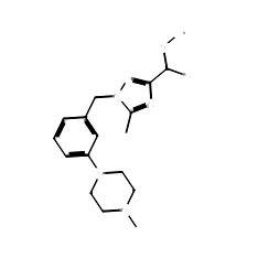 Cc1nc(C(N)NO)nn1Cc1cccc(N2CCN(C)CC2)c1